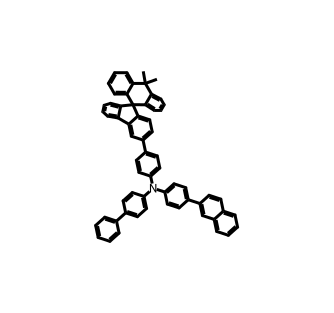 CC1(C)c2ccccc2C2(c3ccccc3-c3cc(-c4ccc(N(c5ccc(-c6ccccc6)cc5)c5ccc(-c6ccc7ccccc7c6)cc5)cc4)ccc32)c2ccccc21